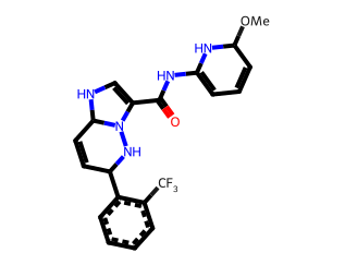 COC1C=CC=C(NC(=O)C2=CNC3C=CC(c4ccccc4C(F)(F)F)NN23)N1